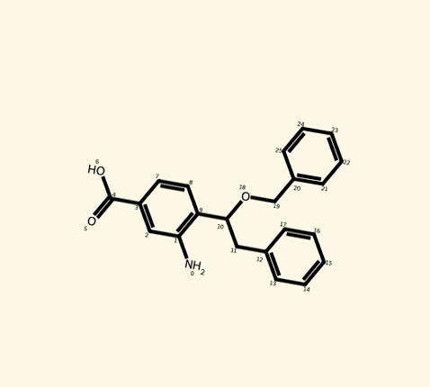 Nc1cc(C(=O)O)ccc1C(Cc1ccccc1)OCc1ccccc1